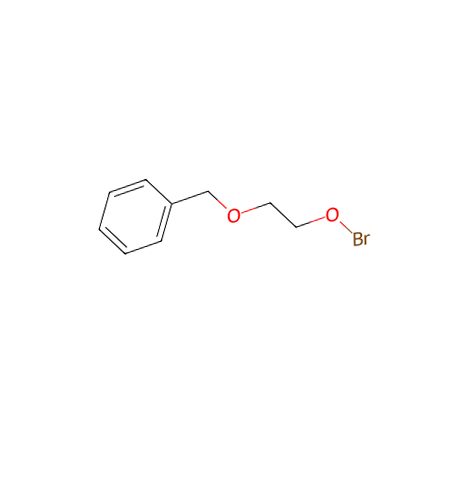 BrOCCOCc1ccccc1